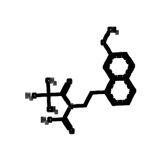 COc1ccc2cccc(CCN(C(C)=O)C(=O)C(C)(C)C)c2c1